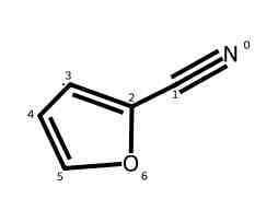 N#Cc1[c]cco1